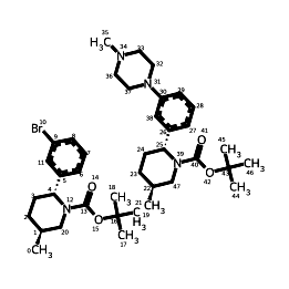 C[C@H]1CC[C@H](c2cccc(Br)c2)N(C(=O)OC(C)(C)C)C1.C[C@H]1CC[C@H](c2cccc(N3CCN(C)CC3)c2)N(C(=O)OC(C)(C)C)C1